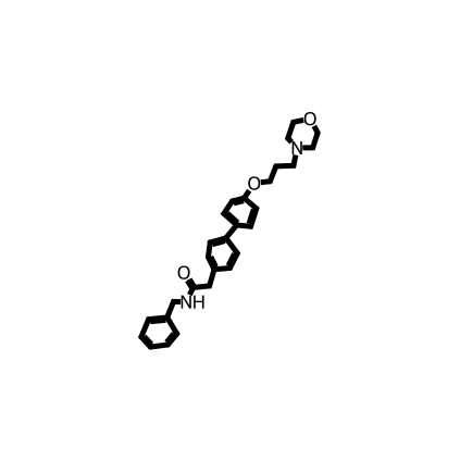 O=C(Cc1ccc(-c2ccc(OCCCN3CCOCC3)cc2)cc1)NCc1ccccc1